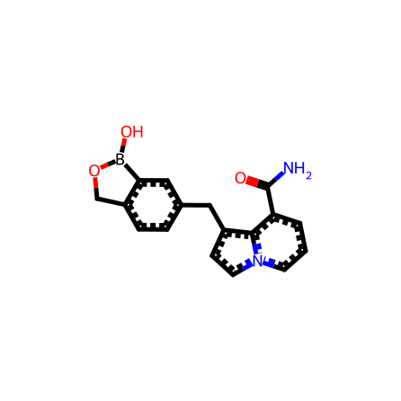 NC(=O)c1cccn2ccc(Cc3ccc4c(c3)B(O)OC4)c12